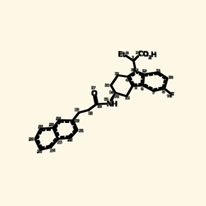 CCC(C(=O)O)n1c2c(c3cc(F)ccc31)C[C@@H](NC(=O)CCc1ccc3ccccc3c1)CC2